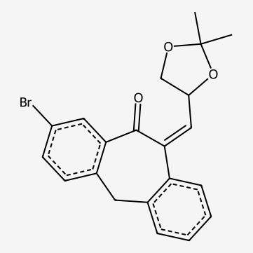 CC1(C)OCC(C=C2C(=O)c3cc(Br)ccc3Cc3ccccc32)O1